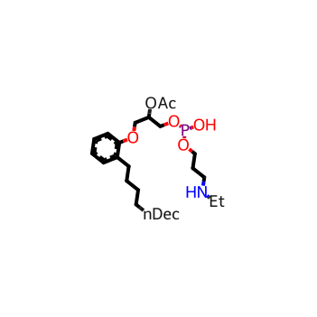 CCCCCCCCCCCCCCc1ccccc1OCC(COP(O)OCCCNCC)OC(C)=O